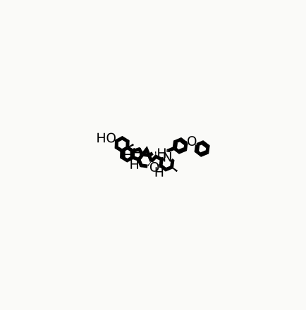 C[C@H]1C[C@H]2O[C@]3(CC[C@H]4[C@@H]5CC=C6C[C@@H](O)CC[C@]6(C)[C@H]5CC45CC53C)[C@H](C)[C@@H]2N(Cc2ccc(Oc3ccccc3)cc2)C1